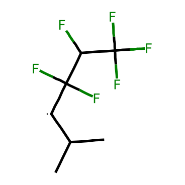 CC(C)[CH]C(F)(F)C(F)C(F)(F)F